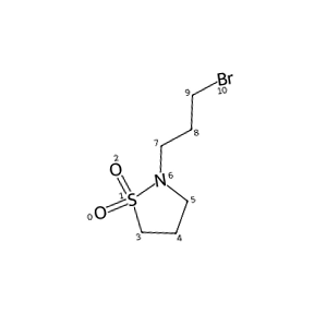 O=S1(=O)CCCN1CCCBr